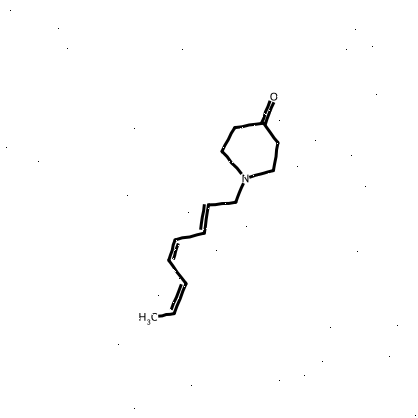 C\C=C/C=C\C=C\CN1CCC(=O)CC1